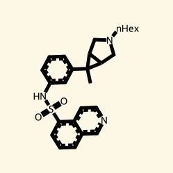 CCCCCCN1CC2C(C1)C2(C)c1cccc(NS(=O)(=O)c2cccc3cnccc23)c1